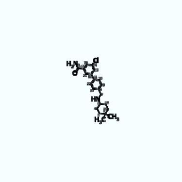 CC1(C)CCC(NCc2ccc(-c3cc(Cl)cc(C(N)=O)c3)cc2)CC1